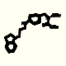 COC(=O)[C@H](Cc1ccc(NCCCN2CCc3ccccc32)cc1)OC